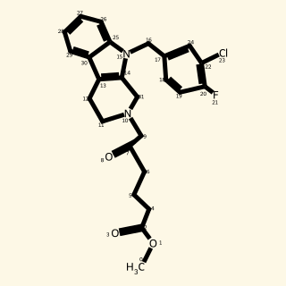 COC(=O)CCCC(=O)CN1CCc2c(n(Cc3ccc(F)c(Cl)c3)c3ccccc23)C1